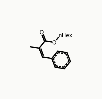 CCCCCCOC(=O)C(C)=Cc1ccccc1